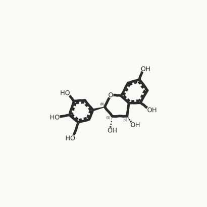 Oc1cc(O)c2c(c1)O[C@H](c1cc(O)c(O)c(O)c1)[C@@H](O)[C@H]2O